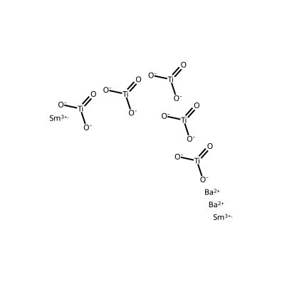 [Ba+2].[Ba+2].[O]=[Ti]([O-])[O-].[O]=[Ti]([O-])[O-].[O]=[Ti]([O-])[O-].[O]=[Ti]([O-])[O-].[O]=[Ti]([O-])[O-].[Sm+3].[Sm+3]